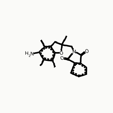 Cc1c(C)c2c(c(C)c1N)CC(C)(CN1C(=O)c3ccccc3C1=O)O2